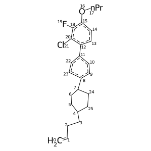 C=CCCC1CCC(c2ccc(-c3ccc(OCCC)c(F)c3Cl)cc2)CC1